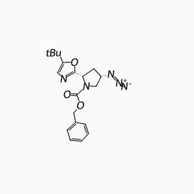 CC(C)(C)c1cnc([C@@H]2C[C@H](N=[N+]=[N-])CN2C(=O)OCc2ccccc2)o1